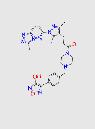 Cc1nn(-c2ccc3nnc(C)n3n2)c(C)c1CCC(=O)N1CCN(Cc2ccc(-c3nonc3O)cc2)CC1